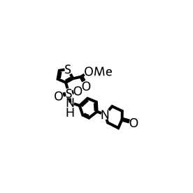 COC(=O)c1sccc1S(=O)(=O)Nc1ccc(N2CCC(=O)CC2)cc1